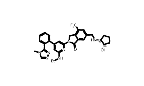 CCNc1cc(-c2ccccc2-c2nncn2C)cc(N2Cc3c(cc(CN[C@H]4CCC[C@@H]4O)cc3C(F)(F)F)C2=O)n1